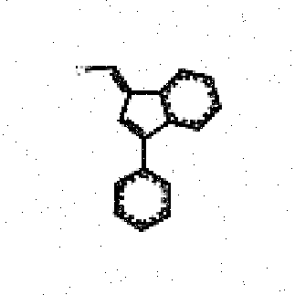 Cl/C=C1\C=C(c2ccccc2)c2ccccc21